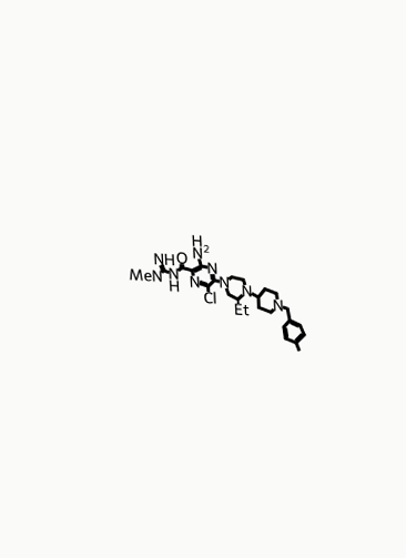 CC[C@H]1CN(c2nc(N)c(C(=O)NC(=N)NC)nc2Cl)CCN1C1CCN(Cc2ccc(C)cc2)CC1